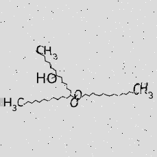 CCCCCCCCCCCCCCOC(=O)C(CCCCCCCCCCCC)CCCCCC(O)CCCCCCC